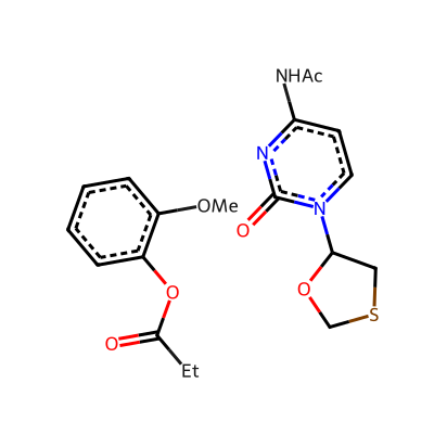 CC(=O)Nc1ccn(C2CSCO2)c(=O)n1.CCC(=O)Oc1ccccc1OC